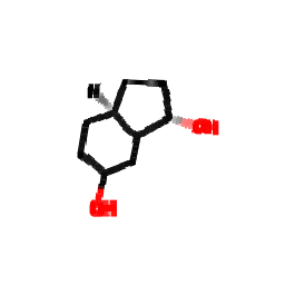 OC1CC[C@H]2CC[C@H](O)C2C1